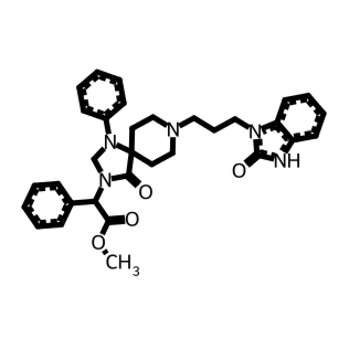 COC(=O)C(c1ccccc1)N1CN(c2ccccc2)C2(CCN(CCCn3c(=O)[nH]c4ccccc43)CC2)C1=O